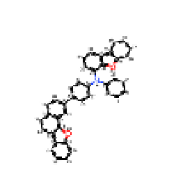 c1ccc(N(c2ccc(-c3ccc4ccc5c6ccccc6oc5c4c3)cc2)c2cccc3c2oc2ccccc23)cc1